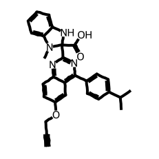 C#CCOc1ccc2nc(C3(C(=O)O)Nc4ccccc4N3C)nc(-c3ccc(C(C)C)cc3)c2c1